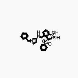 O=S(=O)(c1ccccc1)C1CS(O)(O)c2cccc(CN[C@@H]3CCN(Cc4ccccc4)C3)c21